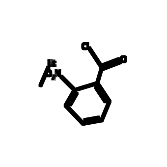 CCC.O=C(Cl)c1ccccc1[N+](=O)[O-]